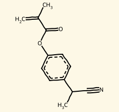 C=C(C)C(=O)Oc1ccc(C(C)C#N)cc1